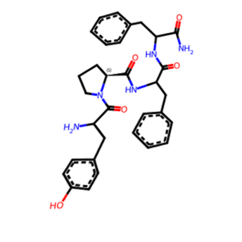 NC(=O)C(Cc1ccccc1)NC(=O)C(Cc1ccccc1)NC(=O)[C@@H]1CCCN1C(=O)C(N)Cc1ccc(O)cc1